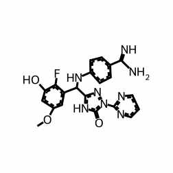 COc1cc(O)c(F)c(C(Nc2ccc(C(=N)N)cc2)c2nn(-c3ncccn3)c(=O)[nH]2)c1